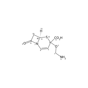 NCOC1(C(=O)O)C=CN2C(=O)C[C@H]2S1